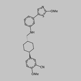 COc1ncc(-c2cccc(NC[C@H]3CC[C@H](c4ccc(OC)c(C#N)c4)CC3)c2)s1